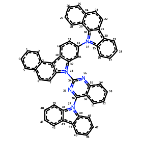 c1ccc2c(c1)ccc1c2c2ccc(-n3c4ccccc4c4ccc5ccccc5c43)cc2n1-c1nc(-n2c3ccccc3c3ccccc32)c2ccccc2n1